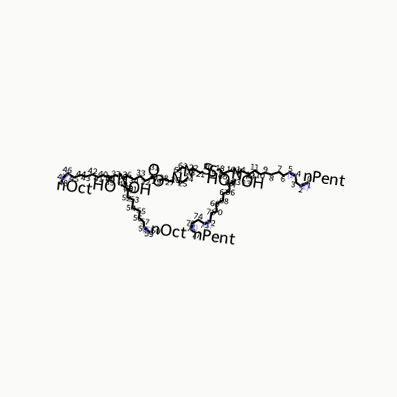 CCCCC/C=C\C/C=C\CCCCCC[C@H](O)CN(CCCSSCCN1CCN(CCOC(=O)CCCCN(C[C@H](O)CCCCCC/C=C\CCCCCCCC)C[C@H](O)CCCCCC/C=C\CCCCCCCC)CC1)C[C@@H](O)CCCCCC/C=C\C/C=C\CCCCC